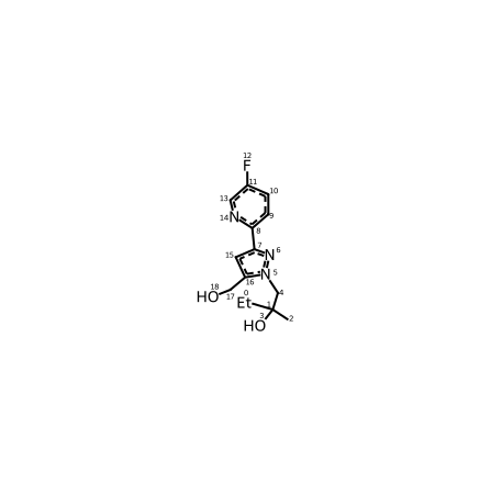 CCC(C)(O)Cn1nc(-c2ccc(F)cn2)cc1CO